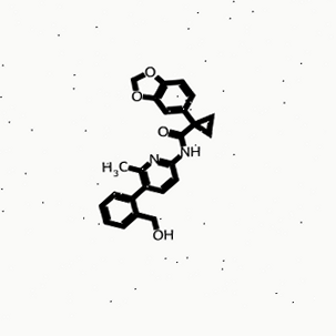 Cc1nc(NC(=O)C2(c3ccc4c(c3)OCO4)CC2)ccc1-c1ccccc1CO